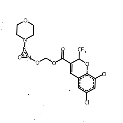 O=C(OCOn1on1N1CCOCC1)C1=Cc2cc(Cl)cc(Cl)c2OC1C(F)(F)F